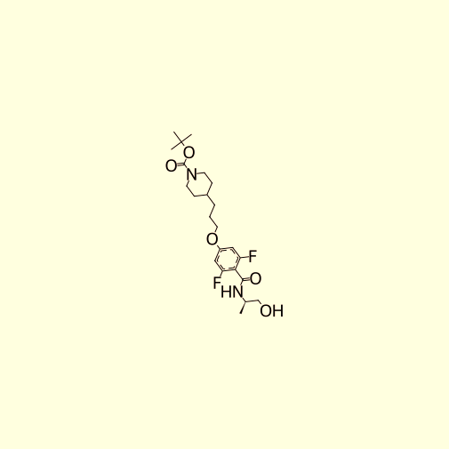 C[C@H](CO)NC(=O)c1c(F)cc(OCCCC2CCN(C(=O)OC(C)(C)C)CC2)cc1F